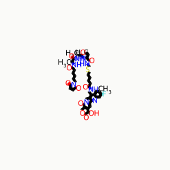 C=C[C@H](NC(=O)[C@@H](C)NC(=O)[C@H](C)NC(=O)CCCCCN1C(=O)C=CC1=O)C(=O)NCSCCCCCC(=O)NCc1c2c(nc3cc(F)c(C)cc13)-c1cc3c(c(=O)n1C2)COC(=O)[C@H]3O